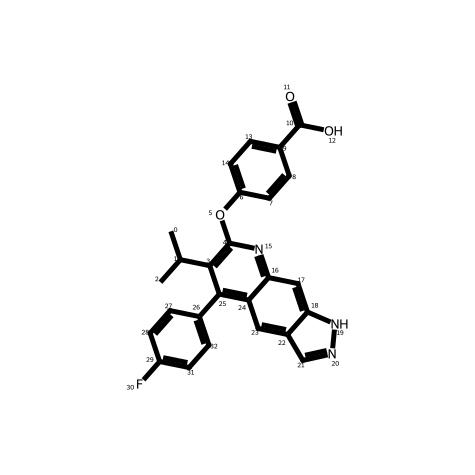 CC(C)c1c(Oc2ccc(C(=O)O)cc2)nc2cc3[nH]ncc3cc2c1-c1ccc(F)cc1